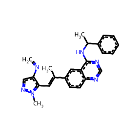 C=Nc1cnn(C)c1/C=C(\C)c1ccc2ncnc(NC(C)c3ccccc3)c2c1